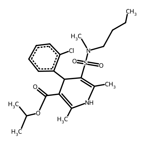 CCCCN(C)S(=O)(=O)C1=C(C)NC(C)=C(C(=O)OC(C)C)C1c1ccccc1Cl